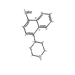 CSc1ccc(N2CCOCC2)c2ccccc12